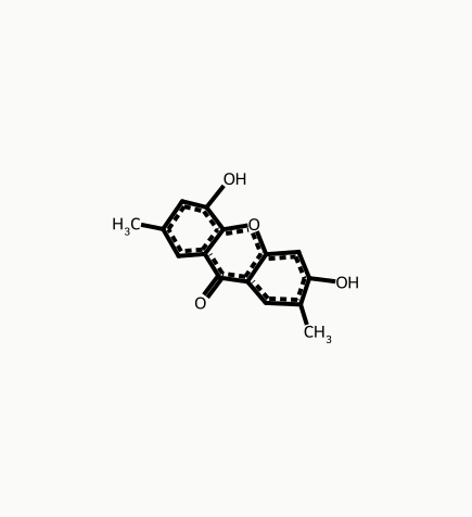 Cc1cc(O)c2oc3cc(O)c(C)cc3c(=O)c2c1